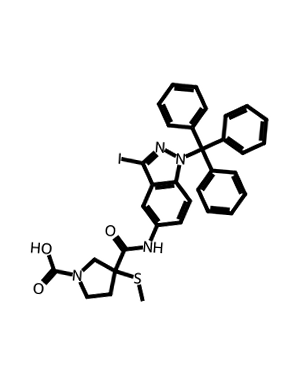 CSC1(C(=O)Nc2ccc3c(c2)c(I)nn3C(c2ccccc2)(c2ccccc2)c2ccccc2)CCN(C(=O)O)C1